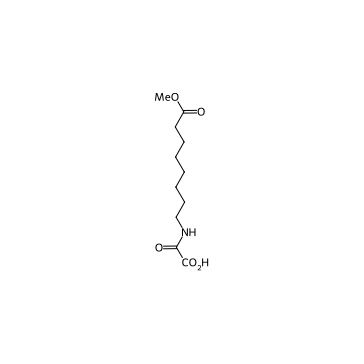 COC(=O)CCCCCCCNC(=O)C(=O)O